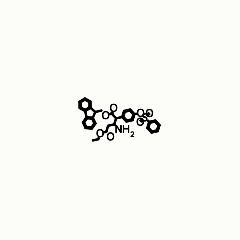 CCOC(=O)CC(N)C(C(=O)OCC1c2ccccc2-c2ccccc21)c1ccc(OS(=O)(=O)c2ccccc2)cc1